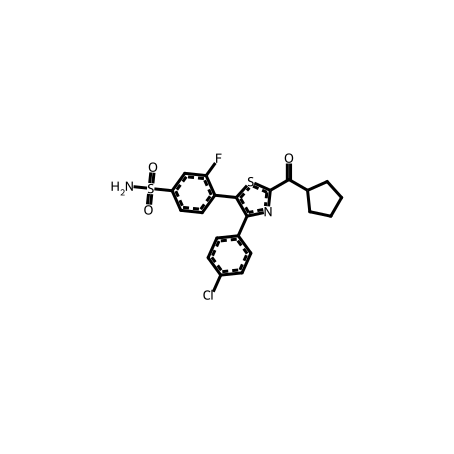 NS(=O)(=O)c1ccc(-c2sc(C(=O)C3CCCC3)nc2-c2ccc(Cl)cc2)c(F)c1